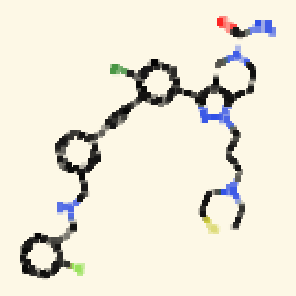 NC(=O)N1CCc2c(c(-c3ccc(Cl)c(C#Cc4cccc(CNCc5ccccc5F)c4)c3)nn2CCCN2CCSCC2)C1